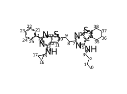 CCCCNc1nc(CCc2cc3c(NC4CC4)nc(-c4ccccc4)nc3s2)nc2sc3c(c12)CCCC3